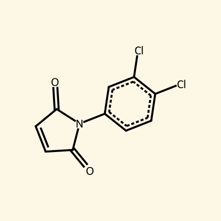 O=C1C=CC(=O)N1c1ccc(Cl)c(Cl)c1